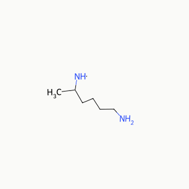 CC([NH])CCCCN